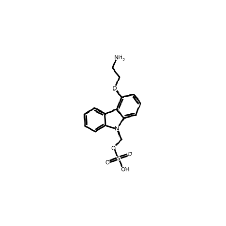 NCCOc1cccc2c1c1ccccc1n2COS(=O)(=O)O